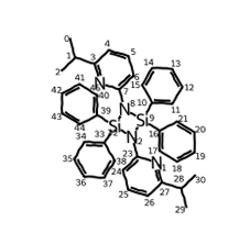 CC(C)c1cccc(N2[Si](c3ccccc3)(c3ccccc3)N(c3cccc(C(C)C)n3)[Si]2(c2ccccc2)c2ccccc2)n1